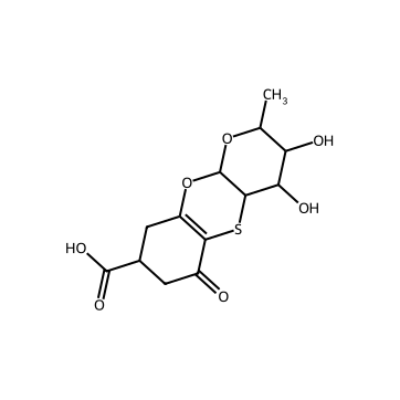 CC1OC2OC3=C(SC2C(O)C1O)C(=O)CC(C(=O)O)C3